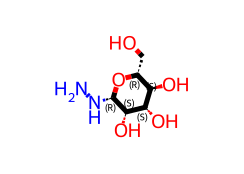 NN[C@@H]1O[C@H](CO)[C@@H](O)[C@H](O)[C@@H]1O